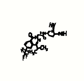 CC(C)c1nn(CC(=O)Nc2ccc(=N)n(C=N)c2)c(=O)c2ccc(C(F)(F)C(F)(F)F)cc12